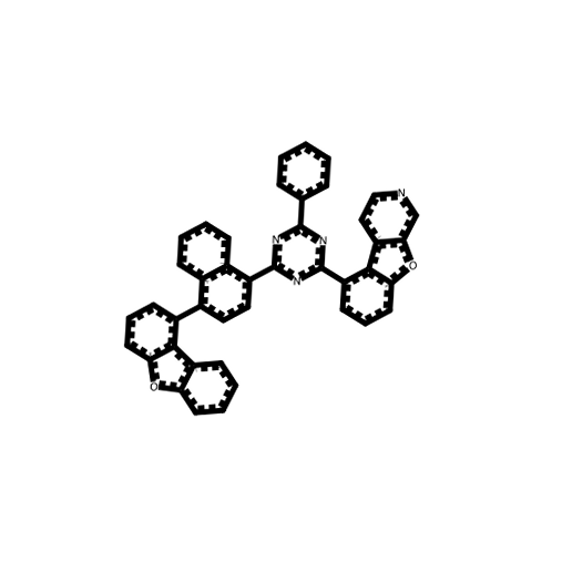 c1ccc(-c2nc(-c3ccc(-c4cccc5oc6ccccc6c45)c4ccccc34)nc(-c3cccc4oc5cnccc5c34)n2)cc1